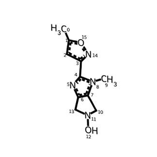 Cc1cc(-c2nc3c(n2C)CN(O)C3)no1